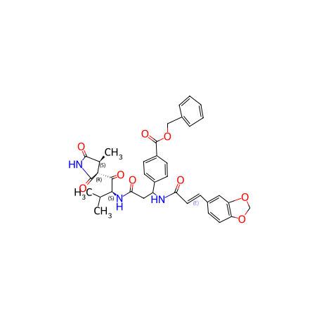 CC(C)[C@H](NC(=O)CC(NC(=O)/C=C/c1ccc2c(c1)OCO2)c1ccc(C(=O)OCc2ccccc2)cc1)C(=O)[C@@H]1C(=O)NC(=O)[C@H]1C